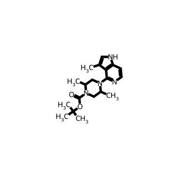 Cc1c[nH]c2ccnc(N3CC(C)N(C(=O)OC(C)(C)C)CC3C)c12